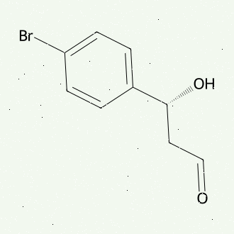 O=CC[C@@H](O)c1ccc(Br)cc1